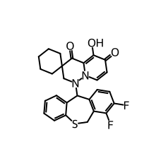 O=C1c2c(O)c(=O)ccn2N(C2c3ccccc3SCc3c2ccc(F)c3F)CC12CCCCC2